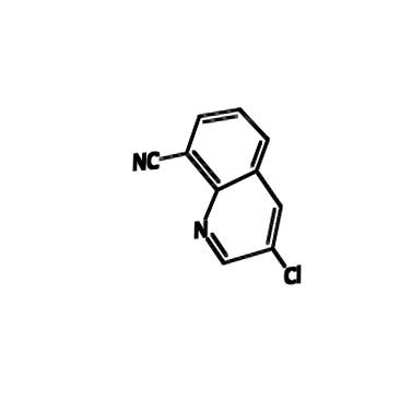 N#Cc1cccc2cc(Cl)cnc12